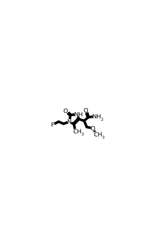 COCC(C(N)=O)c1[nH]c(=O)n(CCF)c1C